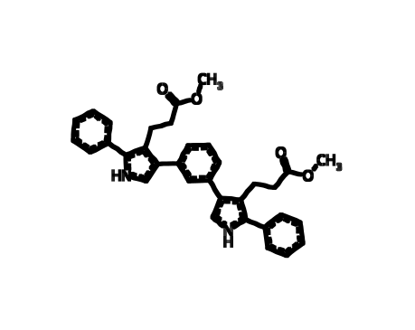 COC(=O)CCc1c(-c2cccc(-c3c[nH]c(-c4ccccc4)c3CCC(=O)OC)c2)c[nH]c1-c1ccccc1